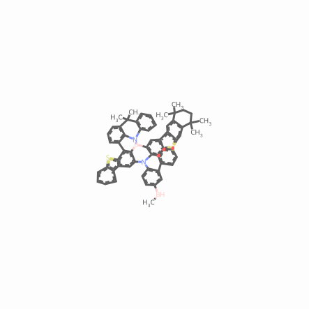 CBc1ccc(N2c3cc4sc5cc6c(cc5c4cc3B3c4c2cc2c(sc5ccccc52)c4-c2cccc4c2N3c2ccccc2C4(C)C)C(C)(C)CCC6(C)C)c(-c2ccccc2)c1